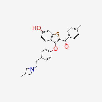 Cc1ccc(C(=O)c2sc3cc(O)ccc3c2Oc2ccc(CCN3CC(C)C3)cc2)cc1